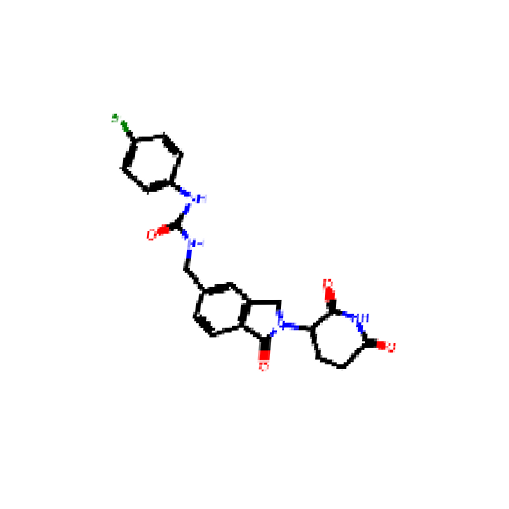 O=C1CCC(N2Cc3cc(CNC(=O)Nc4ccc(Br)cc4)ccc3C2=O)C(=O)N1